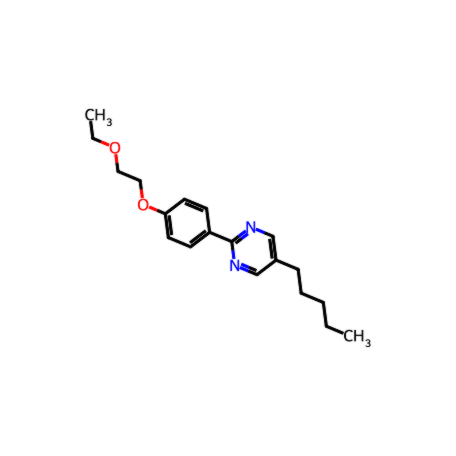 CCCCCc1cnc(-c2ccc(OCCOCC)cc2)nc1